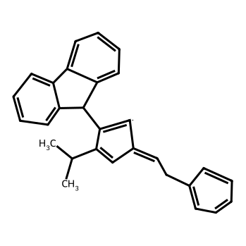 CC(C)C1=CC(=CCc2ccccc2)[C]=C1C1c2ccccc2-c2ccccc21